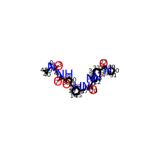 CN(C(=O)CNC(=O)c1ccc(-c2cccc(CNC(=O)c3cn4cc(C(=O)N5CC=CC5)ccc4n3)c2)o1)C1CC1